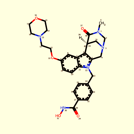 CN1CN2Cc3c(c4cc(OCCN5CCOCC5)ccc4n3Cc3ccc(C(=O)NO)cc3)[C@H](C2)C1=O